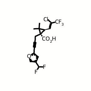 CC1(C)[C@@H](/C=C(\Cl)C(F)(F)F)[C@@]1(CC#Cc1cc(C(F)F)co1)C(=O)O